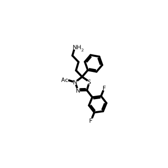 CC(=O)N1N=C(c2cc(F)ccc2F)SC1(CCCN)c1ccccc1